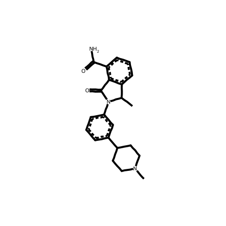 CC1c2cccc(C(N)=O)c2C(=O)N1c1cccc(C2CCN(C)CC2)c1